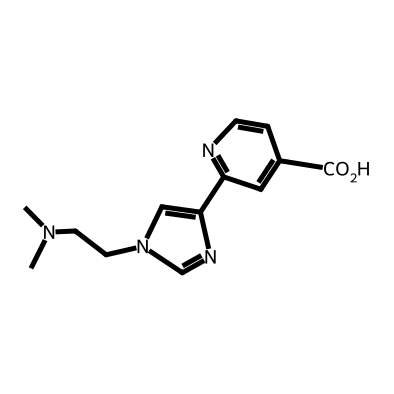 CN(C)CCn1cnc(-c2cc(C(=O)O)ccn2)c1